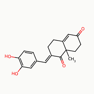 CC12CCC(=O)C=C1CCC(=Cc1ccc(O)c(O)c1)C2=O